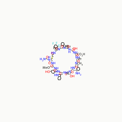 CCCC[C@H]1C(=O)N[C@H](CO)C(=O)N[C@@H](CC(=O)O)C(=O)N[C@@H](C(C)C)C(=O)N(C)[C@@H](Cc2ccccc2)C(=O)N[C@@H](CCCN)C(=O)N2C[C@H](O)C[C@@H]2C(=O)N[C@@H](Cc2c[nH]c3ccccc23)C(=O)N[C@@H](Cc2ccc(O)cc2)C(=O)N[C@@H](CCOC)C(=O)N[C@H](C(=O)NCC(N)=O)CSCC(=O)N[C@@H](Cc2cc(F)c(F)c(F)c2)C(=O)N(C)C(Cc2ccccc2)C(=O)N1C